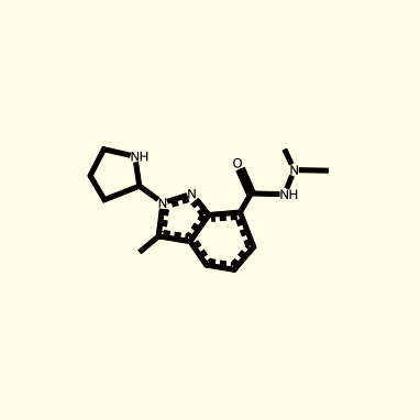 Cc1c2cccc(C(=O)NN(C)C)c2nn1C1CCCN1